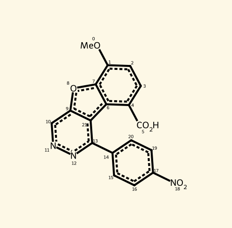 COc1ccc(C(=O)O)c2c1oc1cnnc(-c3ccc([N+](=O)[O-])cc3)c12